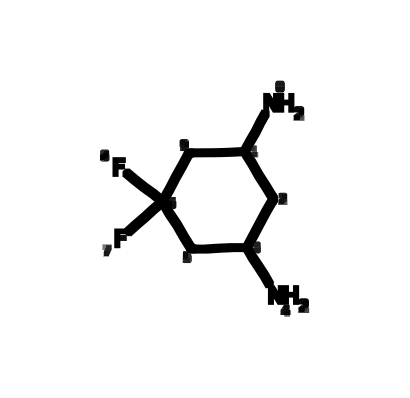 NC1CC(N)CC(F)(F)C1